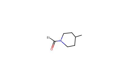 CCC(=O)N1CCC(C)CC1